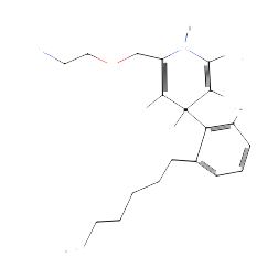 CCCCCCCCCCCCCCCc1cccc(OC)c1C1(C(C)C)C(C(=O)O)=C(C)N(C(C)C)C(COCCN)=C1C(=O)O